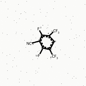 N#Cc1c(F)c(C(F)(F)F)cc(C(F)(F)F)c1F